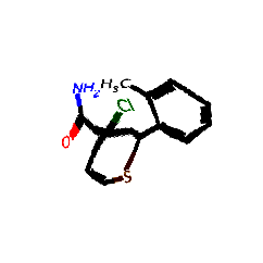 Cc1ccccc1C1SC=CC1(Cl)C(N)=O